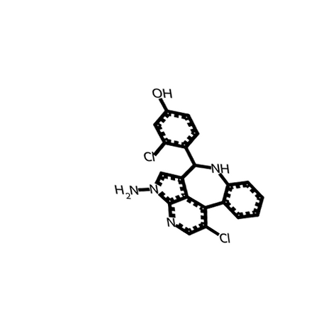 Nn1cc2c3c(c(Cl)cnc31)-c1ccccc1NC2c1ccc(O)cc1Cl